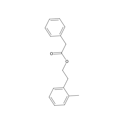 Cc1ccccc1CCOC(=O)Cc1ccccc1